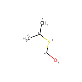 CC(C)SC[O]